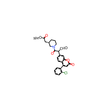 COC(=O)C[C@H]1CCCN(C(=O)C(C=O)c2ccc3c(-c4ccccc4Cl)cc(=O)oc3c2)C1